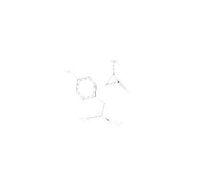 NC1CC1=O.N[C@@H](Cc1ccc(O)cc1)C(=O)O